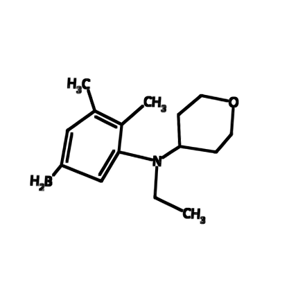 Bc1cc(C)c(C)c(N(CC)C2CCOCC2)c1